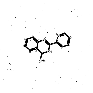 O=CC1NC(c2ccccn2)=Nc2ccccc21